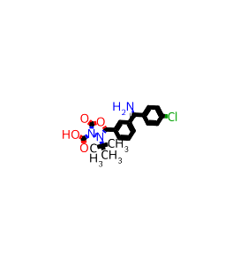 CC(C)(C)N1C(c2cccc([C@@H](N)c3ccc(Cl)cc3)c2)OC(=O)N1C(=O)O